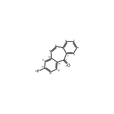 O=c1c2ccccc2ccc2cc(F)ccc12